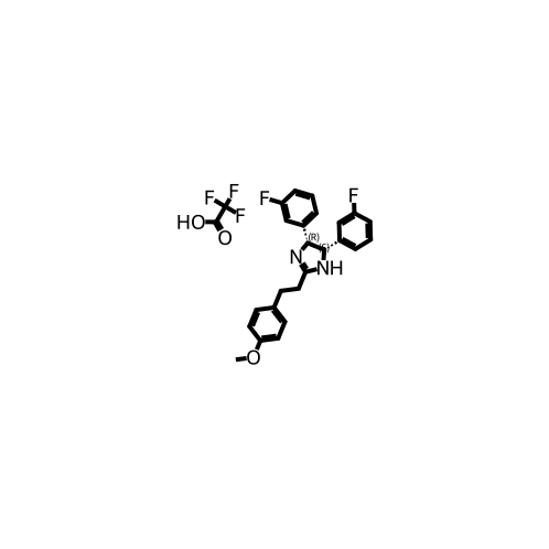 COc1ccc(CCC2=N[C@H](c3cccc(F)c3)[C@H](c3cccc(F)c3)N2)cc1.O=C(O)C(F)(F)F